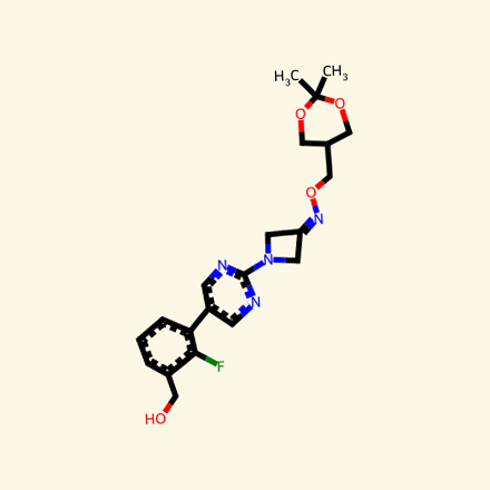 CC1(C)OCC(CON=C2CN(c3ncc(-c4cccc(CO)c4F)cn3)C2)CO1